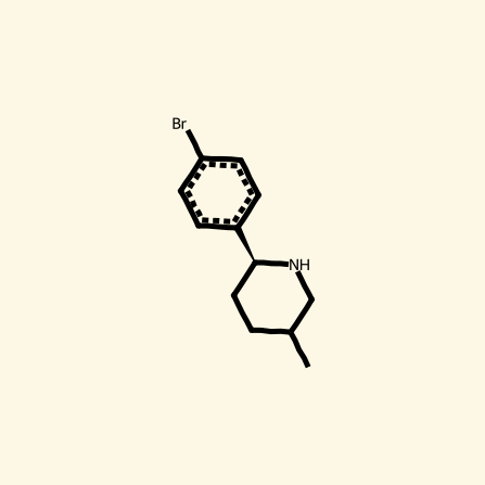 CC1CC[C@@H](c2ccc(Br)cc2)NC1